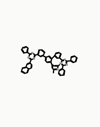 Cc1cc2cc(n1)[n+]1c(-c3ccccc3)nc(-c3ccccc3)nc1c1cccc(c1)c1cc(-c3cccc(-c4nc(-c5ccccc5)nc(-c5ccc6ccccc6c5)n4)c3)ccc21